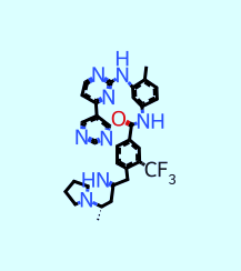 Cc1ccc(NC(=O)c2ccc(CC(=N)C[C@H](C)N3CCCC3)c(C(F)(F)F)c2)cc1Nc1nccc(-c2cncnc2)n1